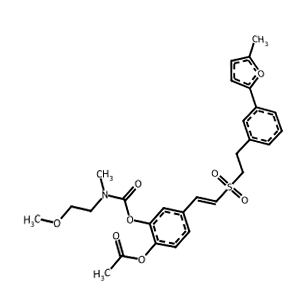 COCCN(C)C(=O)Oc1cc(C=CS(=O)(=O)CCc2cccc(-c3ccc(C)o3)c2)ccc1OC(C)=O